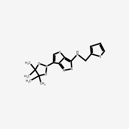 CC1(C)OB(c2csc3c(NCc4cccs4)snc23)OC1(C)C